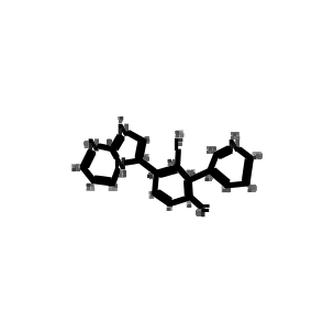 Fc1ccc(-c2cnc3ncccn23)c(F)c1-c1cccnc1